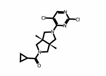 C[C@@]12CN(C(=O)C3CC3)C[C@]1(C)CN(c1nc(Cl)ncc1Cl)C2